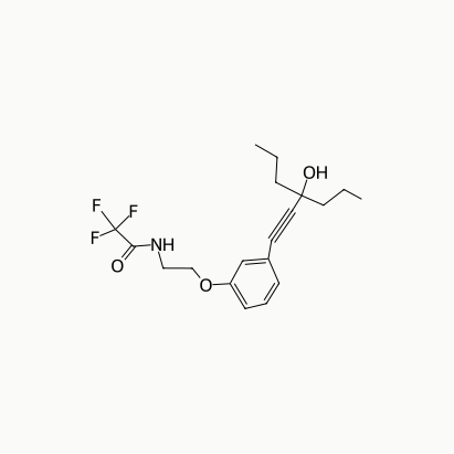 CCCC(O)(C#Cc1cccc(OCCNC(=O)C(F)(F)F)c1)CCC